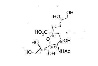 CC(=O)N[C@H]1[C@H]([C@H](O)[C@H](O)CO)O[C@](OCC(O)CO)(C(=O)O)C[C@@H]1O